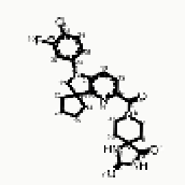 O=C1NC(=O)C2(CCN(C(=O)c3ccc4c(n3)C3(CCCC3)CN4c3ccc(Cl)c(F)c3)CC2)N1